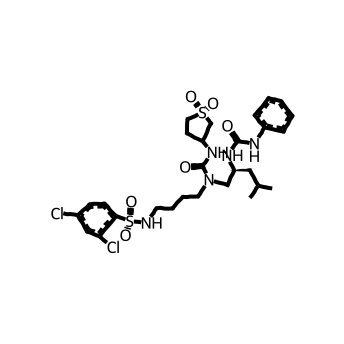 CC(C)C[C@@H](CN(CCCCNS(=O)(=O)c1ccc(Cl)cc1Cl)C(=O)NC1CCS(=O)(=O)C1)NC(=O)Nc1ccccc1